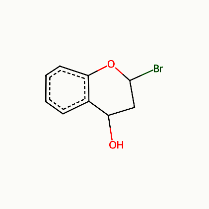 OC1CC(Br)Oc2ccccc21